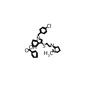 CN1CCCC1=NCCSc1cn(Cc2ccc(Cl)cc2)c2ccccc12.O=C(O)c1ccccc1